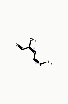 C/N=C\C=C(\C)C=S